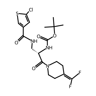 CC(C)(C)OC(=O)N[C@@H](CNC(=O)c1csc(Cl)c1)C(=O)N1CCC(=C(F)F)CC1